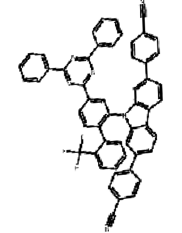 N#Cc1ccc(-c2ccc3c4ccc(-c5ccc(C#N)cc5)cc4n(-c4cc(-c5nc(-c6ccccc6)nc(-c6ccccc6)n5)ccc4-c4ccccc4C(F)(F)F)c3c2)cc1